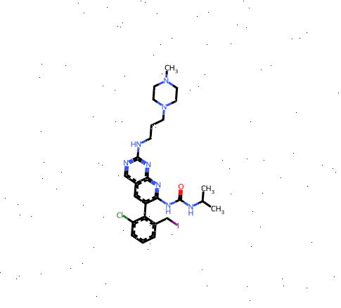 CC(C)NC(=O)Nc1nc2nc(NCCCN3CCN(C)CC3)ncc2cc1-c1c(Cl)cccc1CI